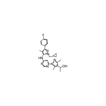 Cc1nn(-c2cc(Nc3c(C)c(C4=C=C=C(F)C=C4)nn3CC3CC3)ncn2)c(C)c1C(C)O